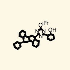 CC(C)Oc1nc(-c2ccccc2O)nc(-c2cc3c4ccccc4c(-c4ccccc4)cc3c3ccccc23)n1